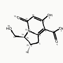 C[C@H]1Cc2c(C(=O)O)c(O)cc(=O)n2[C@@H]1CO